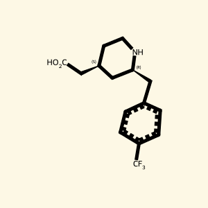 O=C(O)C[C@H]1CCN[C@@H](Cc2ccc(C(F)(F)F)cc2)C1